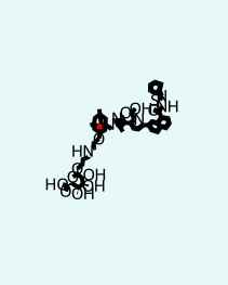 Cc1c(-c2ccc(-c3ccc4cccc(C(=O)Nc5nc6ccccc6s5)c4c3)nc2C(=O)O)cnn1CC12CC3(C)CC(C)(C1)CC(OCCNCCCO[C@@H]1O[C@H](C(=O)O)[C@@H](O)[C@H](O)[C@H]1O)(C3)C2